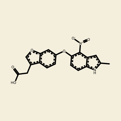 Cc1cc2c([N+](=O)[O-])c(Oc3ccc4c(CC(=O)O)coc4c3)ccc2[nH]1